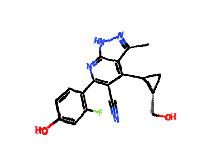 Cc1n[nH]c2nc(-c3ccc(O)cc3F)c(C#N)c(C3C[C@@H]3CO)c12